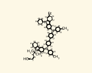 C#C/C=C\CC(C)(C)n1c2c(c3cc(N(c4ccc(C)cc4)c4ccc(-c5ccc(N(c6ccc(C)cc6)c6ccc7c(c6)c6c(n7C7=CC=CCC7)C=C(CC)CC6)cc5)cc4)ccc31)CCC=C2